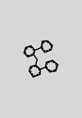 [c]1ccccc1-c1ccccc1Cc1ccccc1-c1[c]cccc1